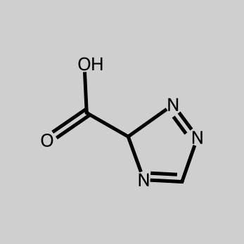 O=C(O)C1N=CN=N1